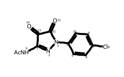 CC(=O)NC1=NN(c2ccc(Cl)cc2)C(=O)C1=O